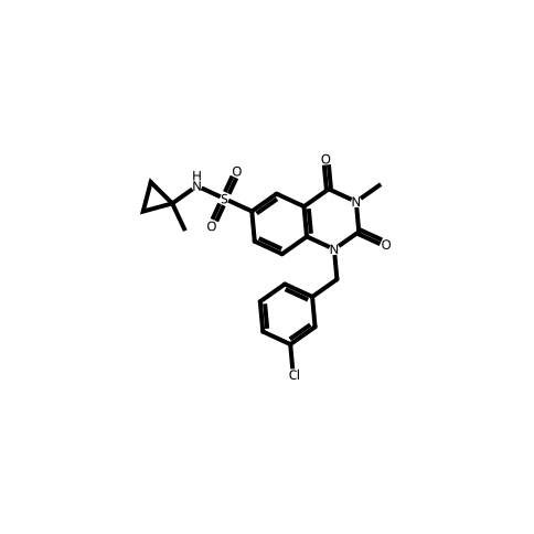 Cn1c(=O)c2cc(S(=O)(=O)NC3(C)CC3)ccc2n(Cc2cccc(Cl)c2)c1=O